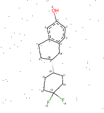 Oc1ccc2c(c1)CC[C@@H](C1CCC(F)(F)CC1)C2